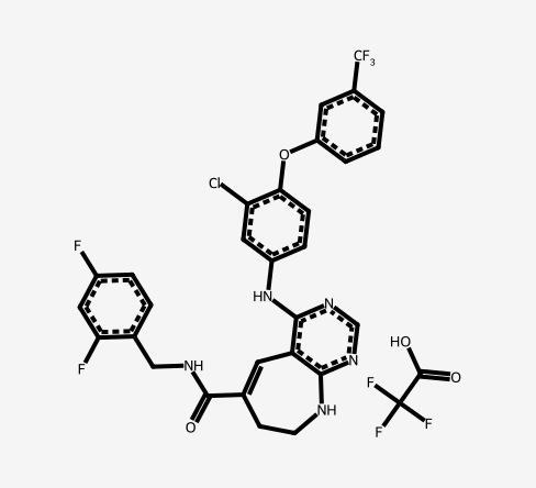 O=C(NCc1ccc(F)cc1F)C1=Cc2c(ncnc2Nc2ccc(Oc3cccc(C(F)(F)F)c3)c(Cl)c2)NCC1.O=C(O)C(F)(F)F